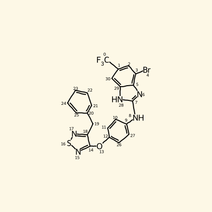 FC(F)(F)c1cc(Br)c2nc(Nc3ccc(Oc4nsnc4Cc4ccccc4)cc3)[nH]c2c1